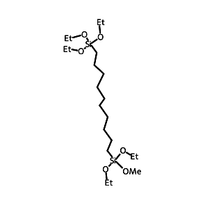 CCO[Si](CCCCCCCCCC[Si](OCC)(OCC)OCC)(OC)OCC